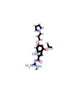 CNC(N)=NC(=O)c1cc2c(OC(C)C)cc(OCCCN3CCCC3)cc2[nH]1